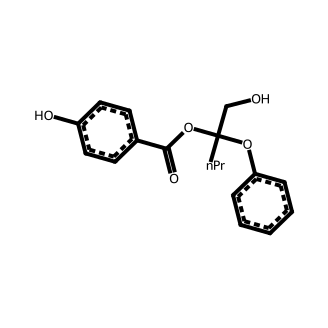 CCCC(CO)(OC(=O)c1ccc(O)cc1)Oc1ccccc1